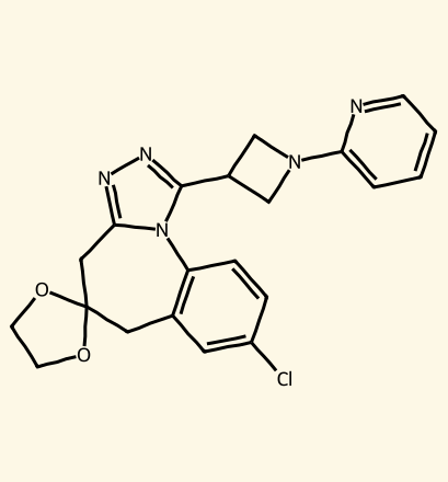 Clc1ccc2c(c1)CC1(Cc3nnc(C4CN(c5ccccn5)C4)n3-2)OCCO1